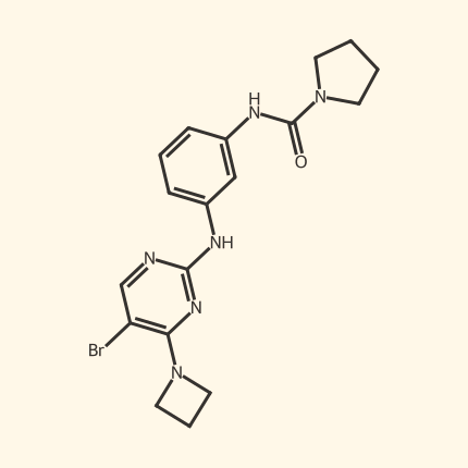 O=C(Nc1cccc(Nc2ncc(Br)c(N3CCC3)n2)c1)N1CCCC1